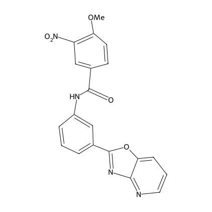 COc1ccc(C(=O)Nc2cccc(-c3nc4ncccc4o3)c2)cc1[N+](=O)[O-]